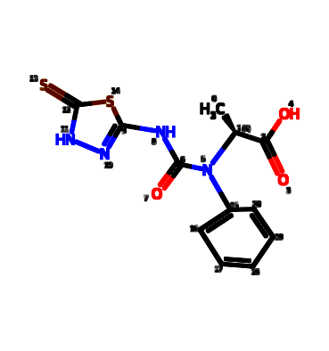 C[C@@H](C(=O)O)N(C(=O)Nc1n[nH]c(=S)s1)c1ccccc1